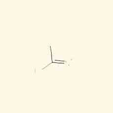 CC/N=C(\C)C(C)C